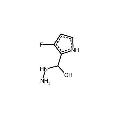 NNC(O)c1[nH]ccc1F